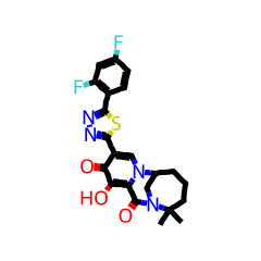 CC1(C)CCCC2CN1C(=O)c1c(O)c(=O)c(-c3nnc(-c4ccc(F)cc4F)s3)cn12